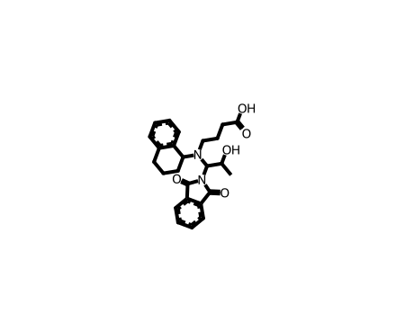 CC(O)C(N1C(=O)c2ccccc2C1=O)N(CCCC(=O)O)C1CCCc2ccccc21